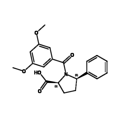 COc1cc(OC)cc(C(=O)N2[C@@H](c3ccccc3)CC[C@H]2C(=O)O)c1